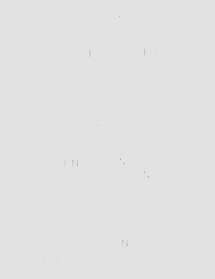 Cc1nnc(NC(C)c2cccc(C(F)(F)F)c2)c2cc(O)cnc12